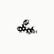 Cc1c[nH]c2ncc(-c3cc4c(c(CN5CCOCC5)c3)COCC4)cc12